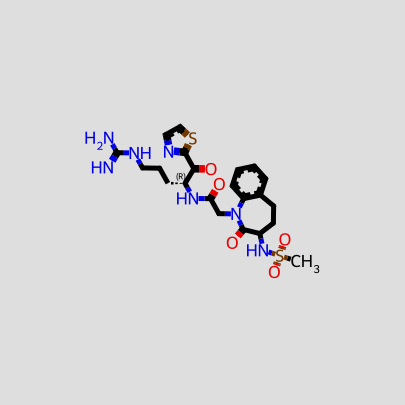 CS(=O)(=O)NC1CCc2ccccc2N(CC(=O)N[C@H](CCCNC(=N)N)C(=O)c2nccs2)C1=O